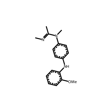 CN=C(C)N(C)c1ccc(Nc2ccccc2OC)cc1